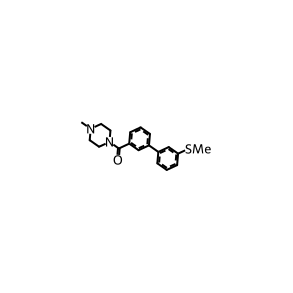 CSc1cccc(-c2cccc(C(=O)N3CCN(C)CC3)c2)c1